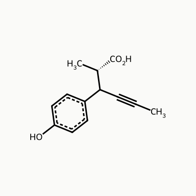 CC#CC(c1ccc(O)cc1)[C@H](C)C(=O)O